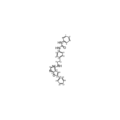 O=C(Nc1ccccc1)Nc1ccc(CCNc2ncnc3oc(-c4ccccc4)cc23)cc1